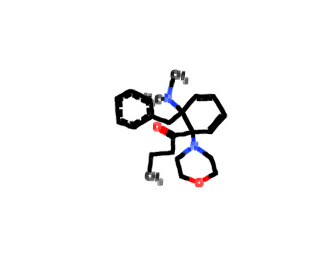 CCCC(=O)C1(N2CCOCC2)C=CC=CC1(Cc1ccccc1)N(C)C